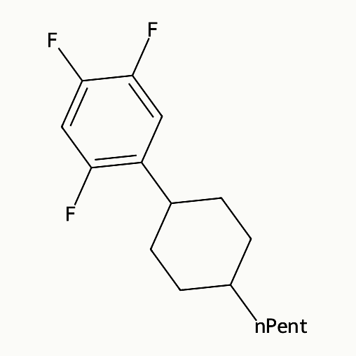 CCCCCC1CCC(c2cc(F)c(F)cc2F)CC1